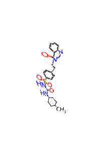 CC1CCC(NC(=O)NS(=O)(=O)c2ccc(CCn3cnc4ccccc4c3=O)cc2)CC1